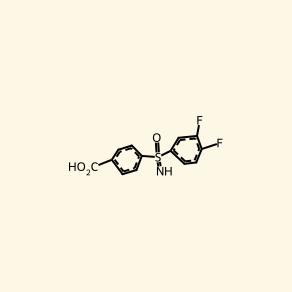 N=S(=O)(c1ccc(C(=O)O)cc1)c1ccc(F)c(F)c1